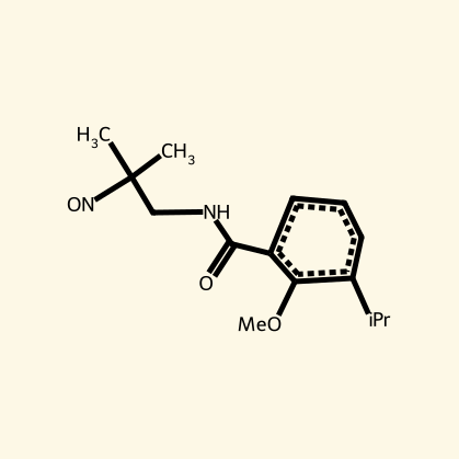 COc1c(C(=O)NCC(C)(C)N=O)cccc1C(C)C